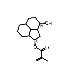 C=C(C)C(=O)O[C@@H]1CC2C3C(CCCC31)CC[C@H]2O